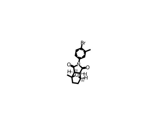 Cc1cc(N2C(=O)[C@H]3[C@@H]4CCC(C)(O4)[C@H]3C2=O)ccc1Br